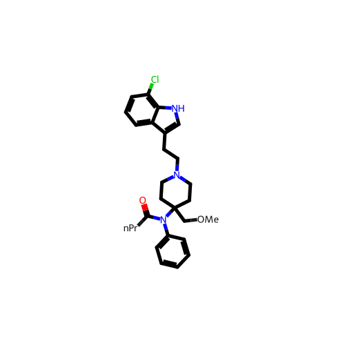 CCCC(=O)N(c1ccccc1)C1(COC)CCN(CCc2c[nH]c3c(Cl)cccc23)CC1